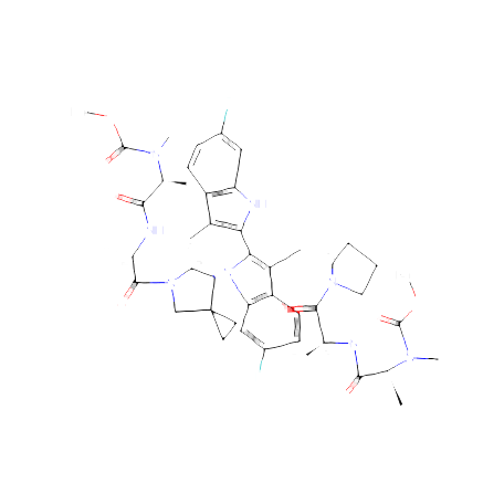 CC[C@H](NC(=O)[C@H](C)N(C)C(=O)OC(C)(C)C)C(=O)N1CCC[C@H]1Cc1c(-c2[nH]c3cc(F)ccc3c2C[C@@H]2CC3(CC3)CN2C(=O)[C@H](CC)NC(=O)[C@H](C)N(C)C(=O)OC(C)(C)C)[nH]c2cc(F)ccc12